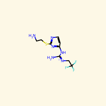 NCCSc1nccc(N/C(N)=N\CC(F)(F)F)n1